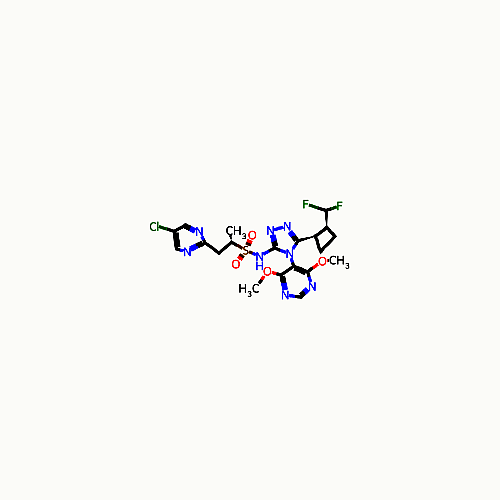 COc1ncnc(OC)c1-n1c(NS(=O)(=O)[C@@H](C)Cc2ncc(Cl)cn2)nnc1[C@@H]1CC[C@@H]1C(F)F